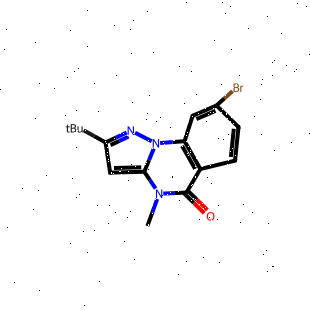 Cn1c(=O)c2ccc(Br)cc2n2nc(C(C)(C)C)cc12